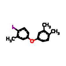 Cc1ccc(Oc2ccc(I)c(C)c2)cc1C